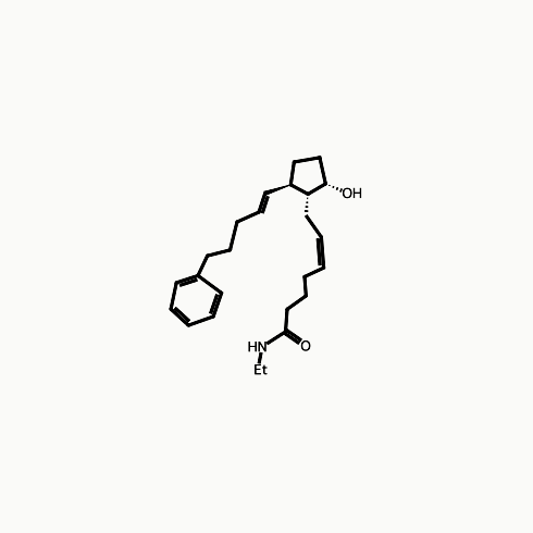 CCNC(=O)CCC/C=C\C[C@H]1[C@@H](O)CC[C@@H]1/C=C/CCCc1ccccc1